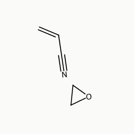 C1CO1.C=CC#N